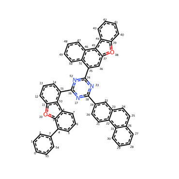 c1ccc(-c2cccc3c2oc2cccc(-c4nc(-c5ccc6c(ccc7ccccc76)c5)nc(-c5cc6oc7ccccc7c6c6ccccc56)n4)c23)cc1